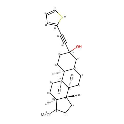 COC1CC[C@H]2[C@@H]3CCC4CC(O)(C#Cc5cccs5)CC[C@]4(C)[C@@H]3CC[C@]12C